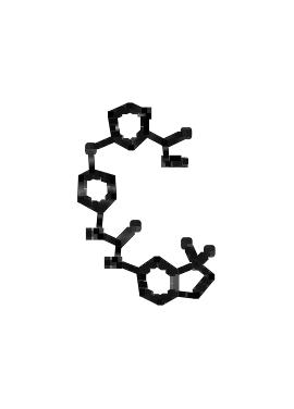 CNC(=O)c1cc(Oc2ccc(NC(=O)Nc3ccc4c(c3)S(=O)(=O)C=C4)cc2)ccn1